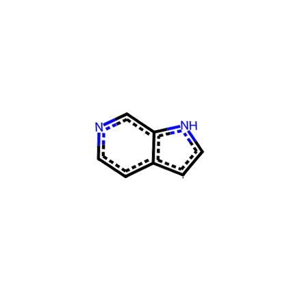 [c]1c[nH]c2cnccc12